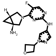 N[C@@]12C[C@@H]1CN(c1nc(Nc3cnn(C4COC4)c3)ncc1F)C2